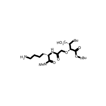 CCCCOC(=O)[C@H](OCC(=O)N[C@@H](CCCCN)C(=O)NC)[C@H](C(=O)O)C(C)CC